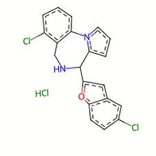 Cl.Clc1ccc2oc(C3NCc4c(Cl)cccc4-n4cccc43)cc2c1